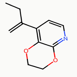 C=C(CC)c1ccnc2c1OCCO2